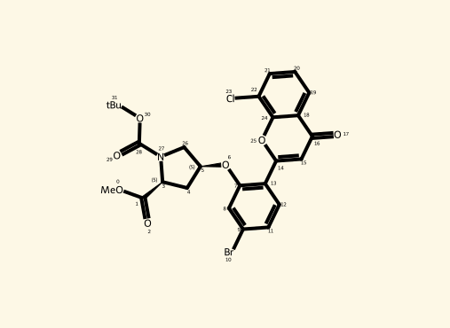 COC(=O)[C@@H]1C[C@H](Oc2cc(Br)ccc2-c2cc(=O)c3cccc(Cl)c3o2)CN1C(=O)OC(C)(C)C